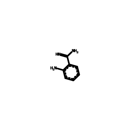 N=C(N)c1ccccc1N